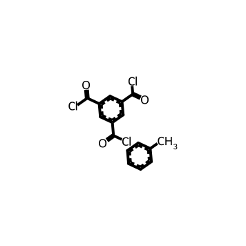 Cc1ccccc1.O=C(Cl)c1cc(C(=O)Cl)cc(C(=O)Cl)c1